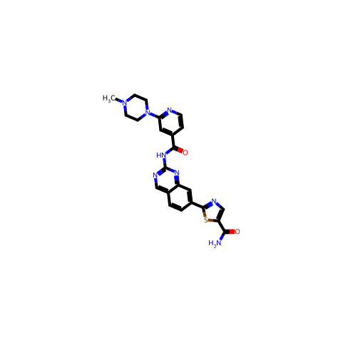 CN1CCN(c2cc(C(=O)Nc3ncc4ccc(-c5ncc(C(N)=O)s5)cc4n3)ccn2)CC1